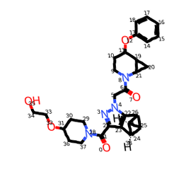 O=C(c1nn(CC(=O)N2CCC(Oc3ccccc3)C3CC32)c2c1[C@@H]1C3C2[C@@H]31)N1CCC(OCCO)CC1